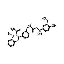 CCOc1ccccc1CC(CC(N)=O)c1cccc(C[C@@H](C)NC[C@H](O)c2ccc(O)c(CO)c2)c1